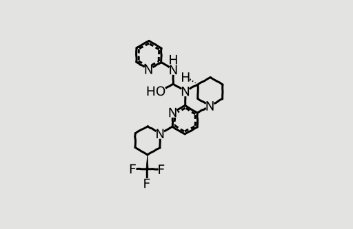 OC(Nc1ccccn1)N1c2nc(N3CCC[C@H](C(F)(F)F)C3)ccc2N2CCC[C@H]1C2